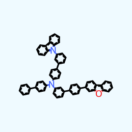 c1ccc(-c2ccc(N(c3ccc(-c4cccc(-n5c6ccccc6c6ccccc65)c4)cc3)c3cccc(-c4ccc(-c5ccc6c(c5)oc5ccccc56)cc4)c3)cc2)cc1